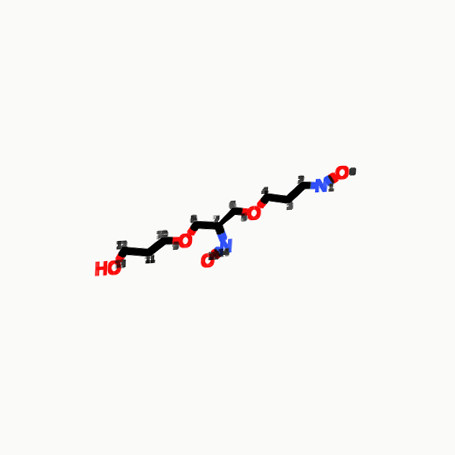 O=NCCCOC[C@H](COCCCO)N=O